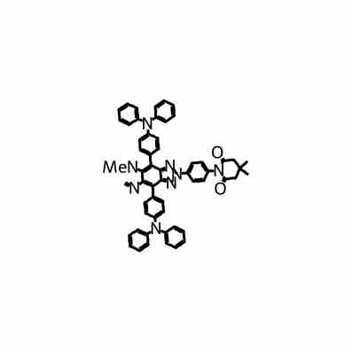 C=Nc1c(NC)c(-c2ccc(N(c3ccccc3)c3ccccc3)cc2)c2nn(-c3ccc(N4C(=O)CC(C)(C)CC4=O)cc3)nc2c1-c1ccc(N(c2ccccc2)c2ccccc2)cc1